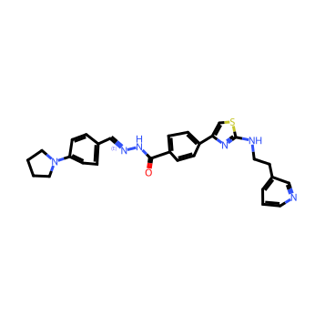 O=C(N/N=C/c1ccc(N2CCCC2)cc1)c1ccc(-c2csc(NCCc3cccnc3)n2)cc1